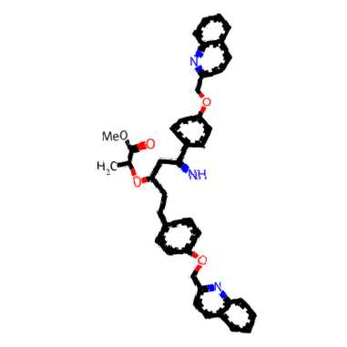 COC(=O)C(C)OC(CCc1ccc(OCc2ccc3ccccc3n2)cc1)CC(=N)c1ccc(OCc2ccc3ccccc3n2)cc1